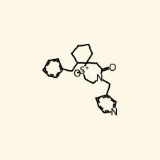 O=C1CC2(CCCCC2Cc2ccccc2)[S+]([O-])CCN1Cc1cccnc1